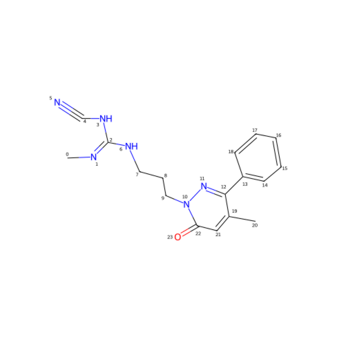 CN=C(NC#N)NCCCn1nc(-c2ccccc2)c(C)cc1=O